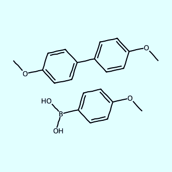 COc1ccc(-c2ccc(OC)cc2)cc1.COc1ccc(B(O)O)cc1